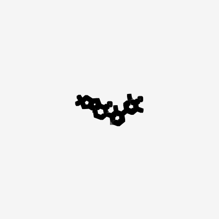 Cc1c(-c2cc(C)c(=O)n(C)c2)ccnc1N1CCn2c(cc3c2CC(C)(C)C3)C1=O